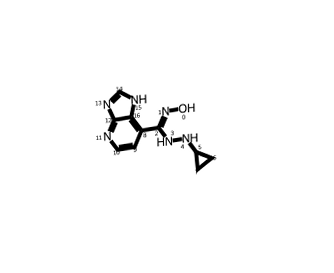 ON=C(NNC1CC1)c1ccnc2nc[nH]c12